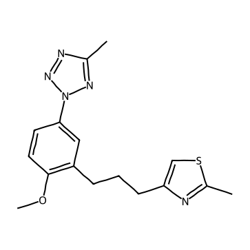 COc1ccc(-n2nnc(C)n2)cc1CCCc1csc(C)n1